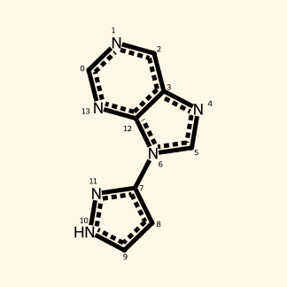 c1ncc2ncn(-c3cc[nH]n3)c2n1